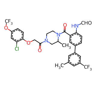 Cc1cc(-c2ccc(NC=O)c(C(=O)N3CCN(C(=O)COc4ccc(OC(F)(F)F)cc4Cl)CC3C)c2)cc(C(F)(F)F)c1